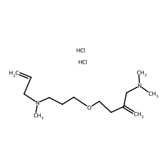 C=CCN(C)CCCOCCC(=C)CN(C)C.Cl.Cl